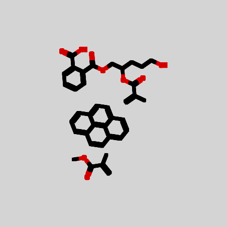 C=C(C)C(=O)OC.C=C(C)C(=O)OC(CCCO)COC(=O)c1ccccc1C(=O)O.c1cc2ccc3cccc4ccc(c1)c2c34